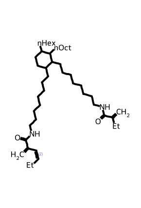 C=C(/C=C\CC)C(=O)NCCCCCCCCC1CCC(CCCCCC)C(CCCCCCCC)C1CCCCCCCCNC(=O)C(=C)CC